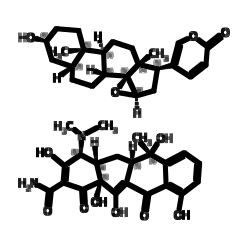 CN(C)[C@@H]1C(O)=C(C(N)=O)C(=O)[C@@]2(O)C(O)=C3C(=O)c4c(O)cccc4[C@@](C)(O)[C@H]3C[C@@H]12.C[C@]12CC[C@H](O)C[C@H]1CC[C@@H]1[C@@H]2CC[C@]2(C)[C@@H](c3ccc(=O)oc3)C[C@H]3O[C@]132